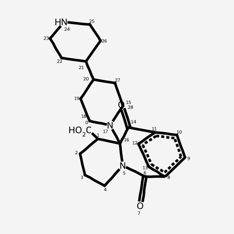 O=C(O)C1CCCN2C(=O)c3ccc(cc3)C(=O)C12N1CCC(C2CCNCC2)CC1